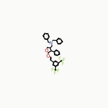 FC(F)(F)c1cc(C=COC2OCC(CN(Cc3ccccc3)Cc3ccccc3)C2c2ccccc2)cc(C(F)(F)F)c1